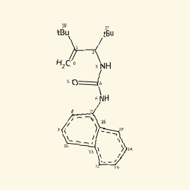 C=C(C(NC(=O)Nc1cccc2ccccc12)C(C)(C)C)C(C)(C)C